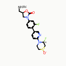 CC(=O)NCC1CN(c2ccc(-c3ccc(N4CC[S+]([O-])C[C@@H]4F)nc3)c(F)c2)C(=O)O1